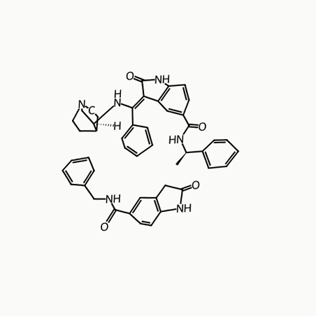 C[C@@H](NC(=O)c1ccc2c(c1)/C(=C(/N[C@@H]1CN3CCC1CC3)c1ccccc1)C(=O)N2)c1ccccc1.O=C1Cc2cc(C(=O)NCc3ccccc3)ccc2N1